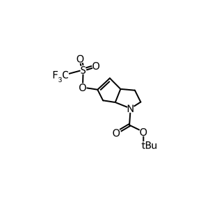 CC(C)(C)OC(=O)N1CCC2C=C(OS(=O)(=O)C(F)(F)F)CC21